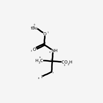 CC(C)(C)OC(=O)NC(C)(CI)C(=O)O